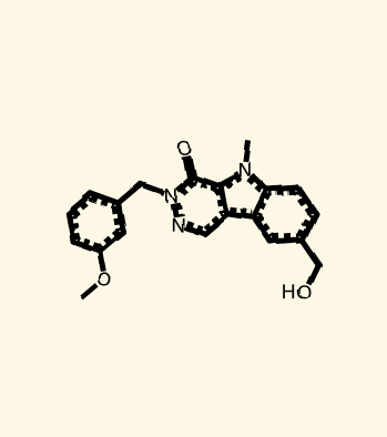 COc1cccc(Cn2ncc3c4cc(CO)ccc4n(C)c3c2=O)c1